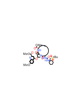 COC(=O)c1cc(O[C@@H]2C[C@H]3C(=O)N[C@H](C(=O)OC)CCC=CCCCCC[C@H](NC(=O)NC4(CS(=O)(=O)C(C)(C)C)CCCCC4)C(=O)N3C2)c2ccc(OC)cc2n1